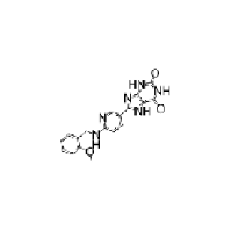 COc1ccccc1CNc1ccc(-c2nc3[nH]c(=O)[nH]c(=O)c3[nH]2)cn1